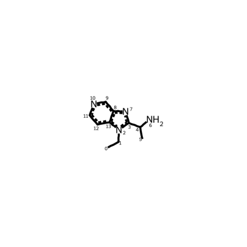 CCn1c(C(C)N)nc2cnccc21